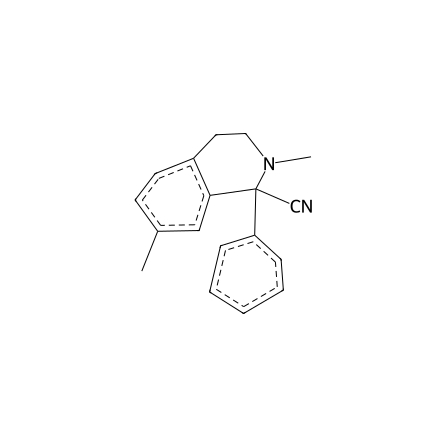 Cc1ccc2c(c1)C(C#N)(c1ccccc1)N(C)CC2